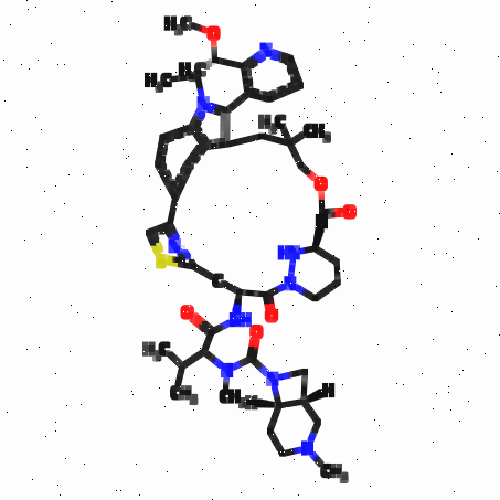 CCn1c(-c2cccnc2[C@H](C)OC)c2c3cc(ccc31)-c1csc(n1)C[C@H](NC(=O)C(C(C)C)N(C)C(=O)N1C[C@@H]3CN(C)CC[C@@H]31)C(=O)N1CCC[C@H](N1)C(=O)OCC(C)(C)C2